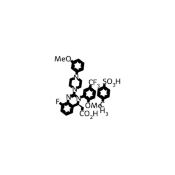 COc1cccc(N2CCN(C3=Nc4c(F)cccc4[C@H](CC(=O)O)N3c3cc(C(F)(F)F)ccc3OC)CC2)c1.Cc1ccc(S(=O)(=O)O)cc1